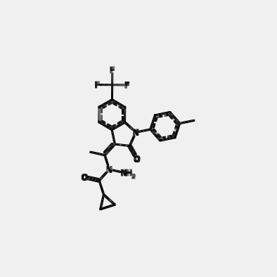 C/C(=C1/C(=O)N(c2ccc(C)cc2)c2cc(C(F)(F)F)ccc21)N(N)C(=O)C1CC1